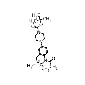 CC(=O)N1c2ccc(N3CCN(C(=O)OC(C)(C)C)CC3)cc2C[C@@H](C)[C@@H]1C